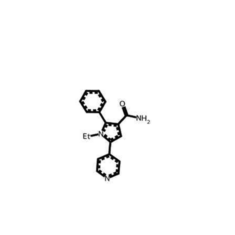 CCn1c(-c2ccncc2)cc(C(N)=O)c1-c1ccccc1